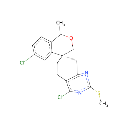 CSc1nc(Cl)c2c(n1)C[C@@]1(CC2)CO[C@@H](C)c2ccc(Cl)cc21